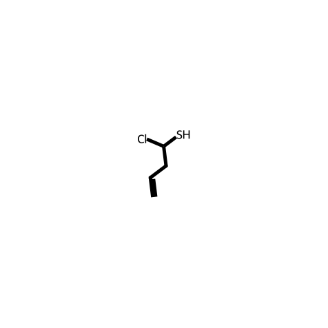 C=CCC(S)Cl